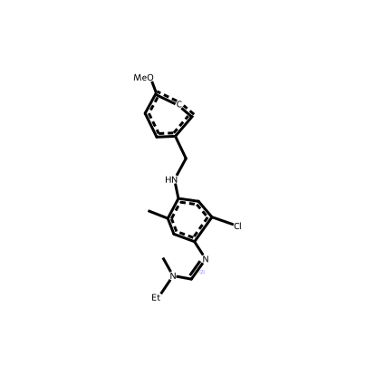 CCN(C)/C=N\c1cc(C)c(NCc2ccc(OC)cc2)cc1Cl